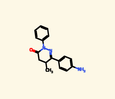 CC1CC(=O)N(c2ccccc2)N=C1c1ccc(N)cc1